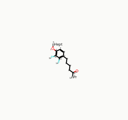 CCCCCCCOc1ccc(CCCCC([O])CCC)c(F)c1F